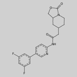 O=C(CC1CCN2C(=O)OCC2C1)Nc1ccc(-c2cc(F)cc(F)c2)cn1